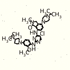 COc1cc(N2CC[C@@H](N(C)C)C2)ccc1Nc1ncc(Cl)c(Nc2ccc(N3CCN(C(C)C)CC3)c3c2C(=O)N(C)C3)n1